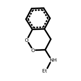 [CH2]CNC1Cc2ccccc2OO1